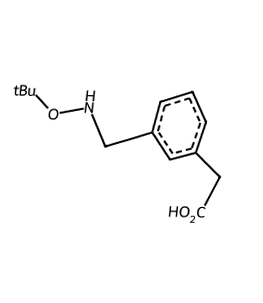 CC(C)(C)ONCc1cccc(CC(=O)O)c1